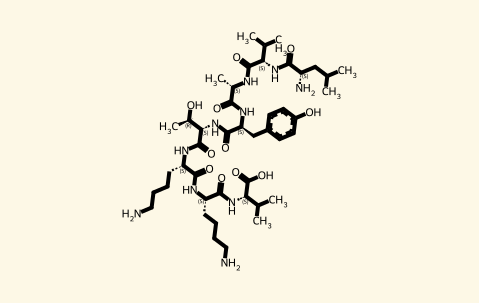 CC(C)C[C@H](N)C(=O)N[C@H](C(=O)N[C@@H](C)C(=O)N[C@@H](Cc1ccc(O)cc1)C(=O)N[C@H](C(=O)N[C@@H](CCCCN)C(=O)N[C@@H](CCCCN)C(=O)N[C@H](C(=O)O)C(C)C)[C@@H](C)O)C(C)C